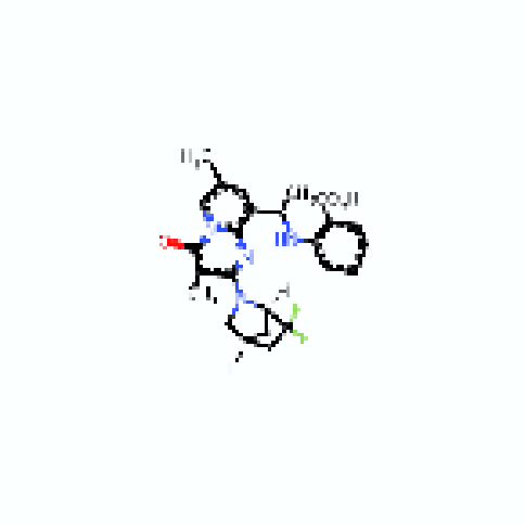 Cc1cc([C@@H](C)Nc2ccccc2C(=O)O)c2nc(N3C[C@H]4C[C@@H]3C(F)(F)C4)c(C)c(=O)n2c1